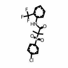 CC(C)(C(=O)Nc1ccccc1C(F)(F)F)S(=O)(=O)c1ccc(Cl)cc1